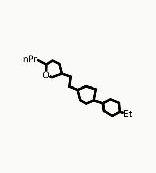 CCCC1CCC(CCC2CCC(C3CCC(CC)CC3)CC2)CO1